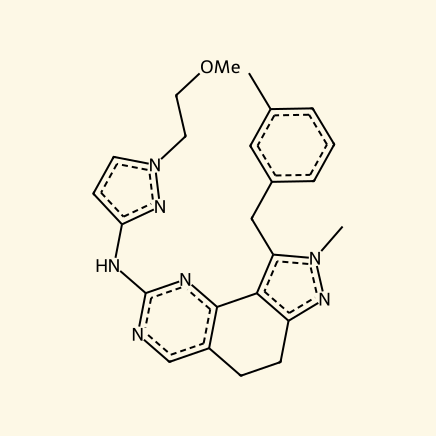 COCCn1ccc(Nc2ncc3c(n2)-c2c(nn(C)c2Cc2cccc(C)c2)CC3)n1